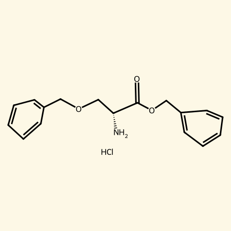 Cl.N[C@H](COCc1ccccc1)C(=O)OCc1ccccc1